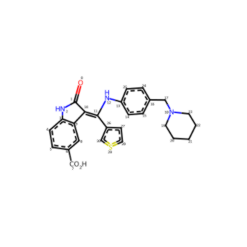 O=C1Nc2ccc(C(=O)O)cc2C1=C(Nc1ccc(CN2CCCCC2)cc1)c1ccsc1